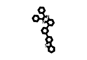 c1ccc(-c2nc3cccc(-c4cccc(-c5ccc6c(c5)sc5ccccc56)c4)c3nc2-c2ccccc2)cc1